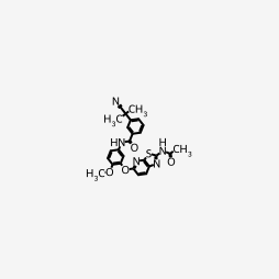 COc1ccc(NC(=O)c2cccc(C(C)(C)C#N)c2)cc1Oc1ccc2nc(NC(C)=O)sc2n1